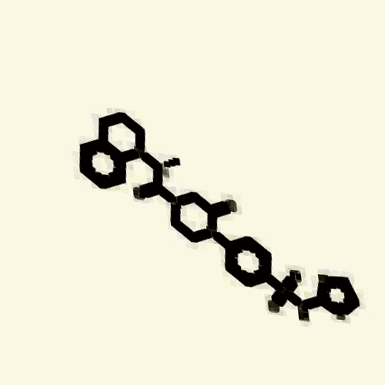 C[C@H](C(=O)N1CCN(c2ccc(S(=O)(=O)Nc3nccs3)cc2)C(=O)C1)N1CCCc2ccccc21